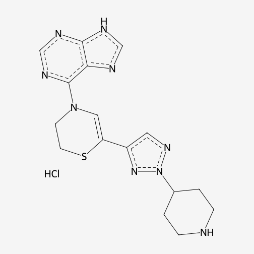 C1=C(c2cnn(C3CCNCC3)n2)SCCN1c1ncnc2[nH]cnc12.Cl